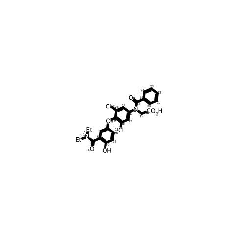 CCN(CC)C(=O)c1cc(Oc2c(Cl)cc(N(CC(=O)O)C(=O)c3ccccc3)cc2Cl)ccc1O